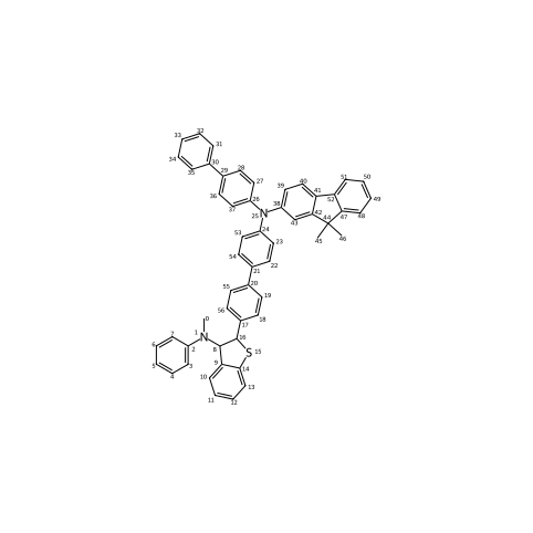 CN(c1ccccc1)C1c2ccccc2SC1c1ccc(-c2ccc(N(c3ccc(-c4ccccc4)cc3)c3ccc4c(c3)C(C)(C)c3ccccc3-4)cc2)cc1